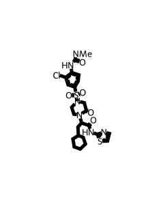 CNC(=O)Nc1ccc(S(=O)(=O)N2CCN(C(CC3CCCCC3)C(=O)Nc3nccs3)C(=O)C2)cc1Cl